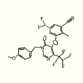 COc1ccc(Cn2cnc(C(F)(F)C(F)F)c(Oc3cc(C(F)F)cc(C#N)c3C)c2=O)cc1